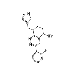 CC(C)C1CCC(Cn2ccnc2)c2nnc(-c3ccccc3F)cc21